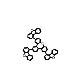 c1ccc2c(c1)oc1cccc(-c3ccc4c(c3)-c3ccc(-c5cccc6oc7ccccc7c56)cc3-c3cc(-c5cccc6oc7ccccc7c56)ccc3O4)c12